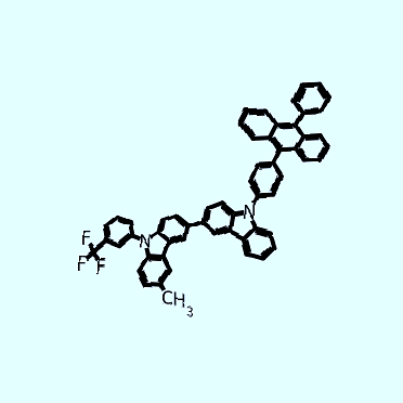 Cc1ccc2c(c1)c1cc(-c3ccc4c(c3)c3ccccc3n4-c3ccc(-c4c5ccccc5c(-c5ccccc5)c5ccccc45)cc3)ccc1n2-c1cccc(C(F)(F)F)c1